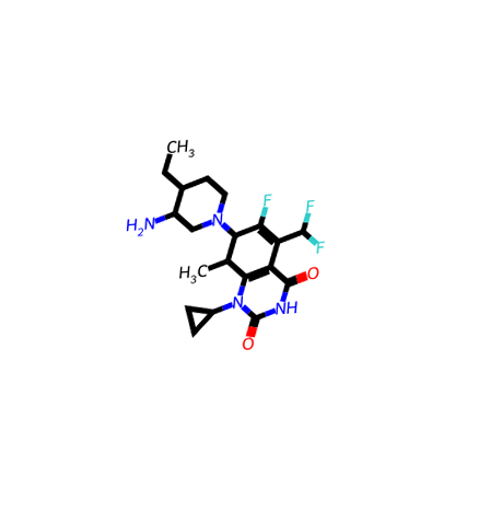 CCC1CCN(C2C(F)=C(C(F)F)c3c(n(C4CC4)c(=O)[nH]c3=O)C2C)CC1N